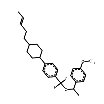 C/C=C/CCC1CCC(c2ccc(C(F)(F)OC(C)c3ccc(OC(F)(F)F)cc3)cc2)CC1